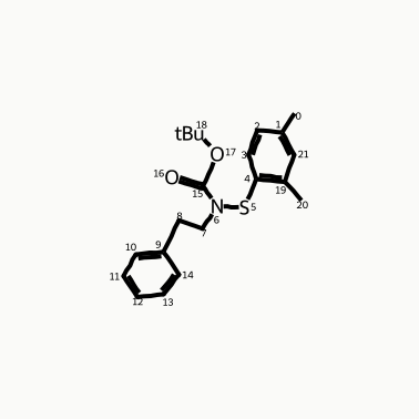 Cc1ccc(SN(CCc2ccccc2)C(=O)OC(C)(C)C)c(C)c1